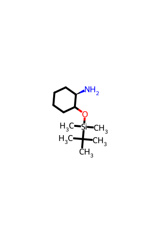 CC(C)(C)[Si](C)(C)OC1CCCC[C@H]1N